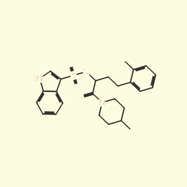 CC1CCN(C(=O)C(CCc2ccccc2Cl)NS(=O)(=O)c2c[nH]c3ccccc23)CC1